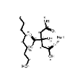 CCCCCCCCO.O=C(O)CC(O)(CC(=O)O)C(=O)O.[NaH]